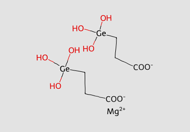 O=C([O-])C[CH2][Ge]([OH])([OH])[OH].O=C([O-])C[CH2][Ge]([OH])([OH])[OH].[Mg+2]